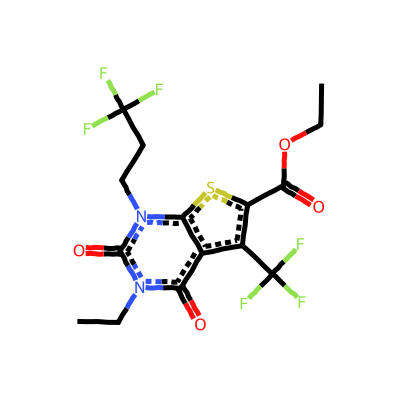 CCOC(=O)c1sc2c(c1C(F)(F)F)c(=O)n(CC)c(=O)n2CCC(F)(F)F